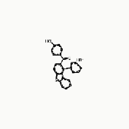 Br.O=C(c1ccc(O)cc1)c1ccc2sc3ccccc3c2c1-c1ccccc1